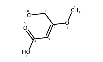 COC(=CC(=O)O)CCl